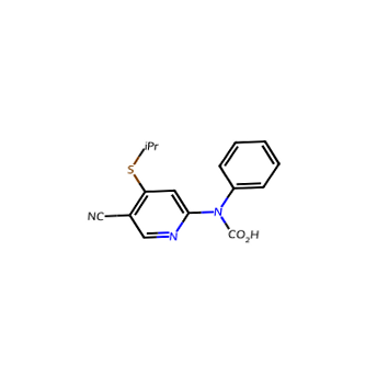 CC(C)Sc1cc(N(C(=O)O)c2ccccc2)ncc1C#N